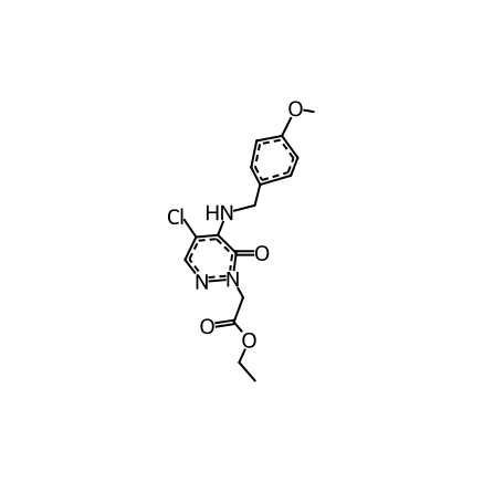 CCOC(=O)Cn1ncc(Cl)c(NCc2ccc(OC)cc2)c1=O